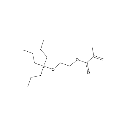 C=C(C)C(=O)OCCO[Si](CCC)(CCC)CCC